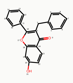 O=c1c(Cc2ccccc2)c(-c2ccccc2)oc2cc(O)ccc12